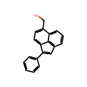 OCc1ccc2c3c(cccc13)C=C2c1ccccc1